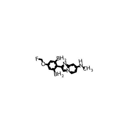 Bc1cc(OCF)cc(B)c1-c1cn2ccc(NC)cc2n1